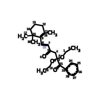 CCOC(CC(=O)/C=C/C1=C(C)CCCC1(C)C)(OCC)C(=O)c1ccccc1